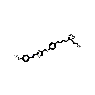 OCCn1nnnc1CCCCc1ccc(OCc2coc(/C=C/c3ccc(OC(F)(F)F)cc3)n2)cc1